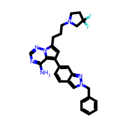 Nc1ncnn2c(CCCN3CCC(F)(F)C3)cc(-c3ccc4cn(Cc5ccccc5)nc4c3)c12